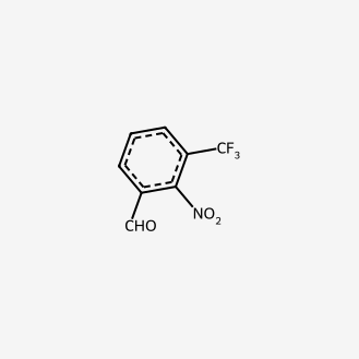 O=Cc1cccc(C(F)(F)F)c1[N+](=O)[O-]